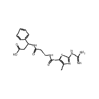 Cc1nc(NC(=N)N)sc1C(=O)NCCC(=O)NC(CC(=O)O)c1ccccc1